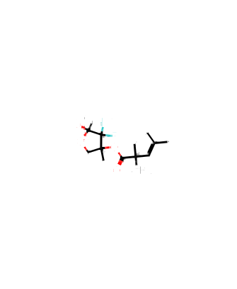 CC(C)=CC(C)(C(=O)OC1(C)COC(O)(C(F)(F)F)C1(F)F)C(C)(C)C